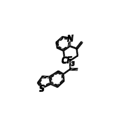 C=C(CCC(=C)c1ncccc1C(F)(F)F)c1ccc2sccc2c1